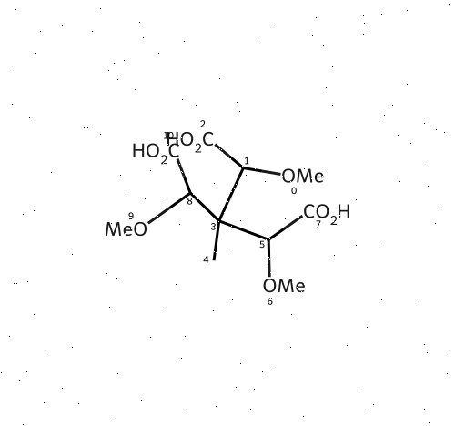 COC(C(=O)O)C(C)(C(OC)C(=O)O)C(OC)C(=O)O